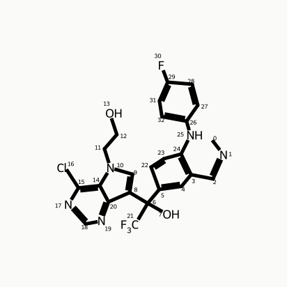 C/N=C\c1cc(C(O)(c2cn(CCO)c3c(Cl)ncnc23)C(F)(F)F)ccc1Nc1ccc(F)cc1